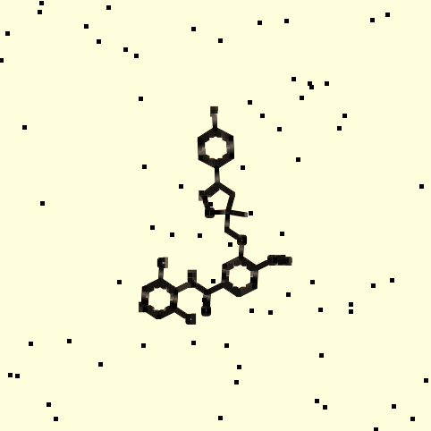 COc1ccc(C(=O)Nc2c(Cl)cncc2Cl)cc1OCC1(C)CC(c2ccc(F)cc2)=NO1